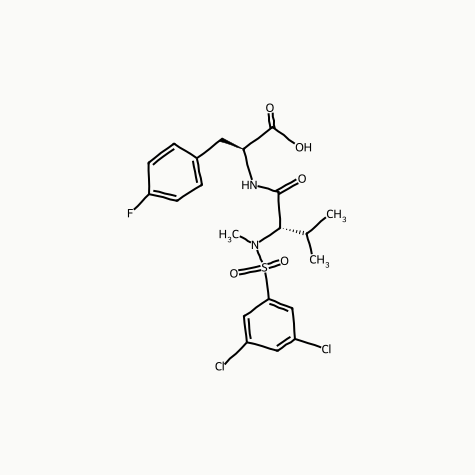 CC(C)[C@@H](C(=O)N[C@@H](Cc1ccc(F)cc1)C(=O)O)N(C)S(=O)(=O)c1cc(Cl)cc(Cl)c1